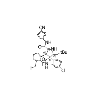 CC(C)(C)C[C@@H]1N[C@@H](C(=O)Nc2ccc(C#N)s2)[C@H](c2cccc(CI)c2F)[C@]12C(=O)Nc1cc(Cl)ccc12